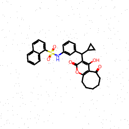 O=C1CCCCCc2oc(=O)c(C(c3cccc(NS(=O)(=O)c4cccc5ccccc45)c3)C3CC3)c(O)c21